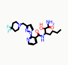 CCCCC(NC(=O)c1cccnc1-n1ccc(CN2CCC(F)(F)CC2)n1)C(O)C(N)=O